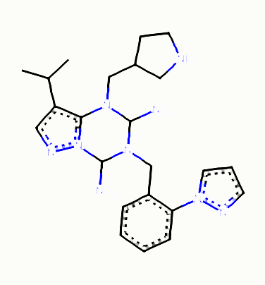 CC(C)c1cnn2c1N(CC1CCNC1)C(N)N(Cc1ccccc1-n1cccn1)C2N